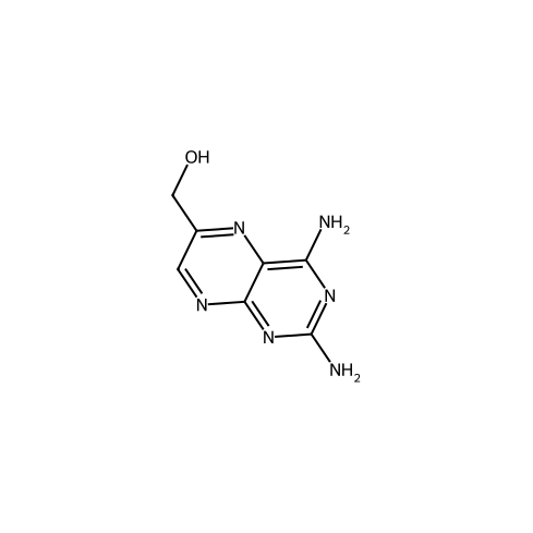 Nc1nc(N)c2nc(CO)cnc2n1